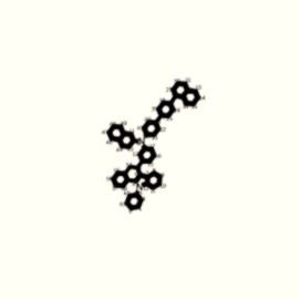 c1ccc(-n2c3c(c4ccccc42)C(c2cccc(N(c4ccc(-c5ccc(-c6cccc7ccccc67)cc5)cc4)c4ccc5ccccc5c4)c2)Cc2ccccc2-3)cc1